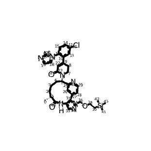 C[C@@H]1CCC[C@H](N2CCC(c3cc(Cl)ccc3-n3ccnn3)=CC2=O)c2cc(ccn2)-c2c(cnn2COCC[Si](C)(C)C)NC1=O